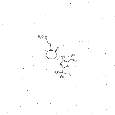 COCCN1CCCC[C@@H](Nc2cc(C(C)(C)C)sc2C(=O)O)C1=O